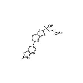 COCCC(C)(O)c1cc2ccc(-c3cnc4nn(C)cc4c3)nc2s1